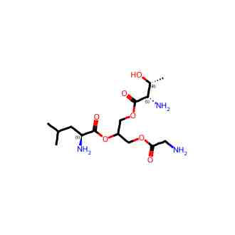 CC(C)C[C@H](N)C(=O)OC(COC(=O)CN)COC(=O)[C@@H](N)[C@@H](C)O